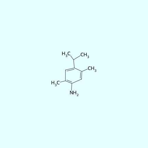 Cc1cc(C(C)C)c(C)cc1N